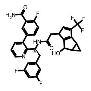 NC(=O)c1cc(-c2cccnc2[C@H](Cc2cc(F)cc(F)c2)NC(=O)CC2C=C(C(F)(F)F)C3=C2C(O)C2CC32)ccc1F